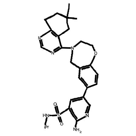 CC(C)NS(=O)(=O)c1cc(-c2ccc3c(c2)CN(c2ncnc4c2CC(C)(C)CC4)CCO3)cnc1N